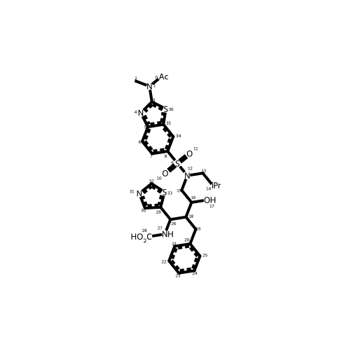 CC(=O)N(C)c1nc2ccc(S(=O)(=O)N(CC(C)C)CC(O)C(Cc3ccccc3)C(NC(=O)O)c3cncs3)cc2s1